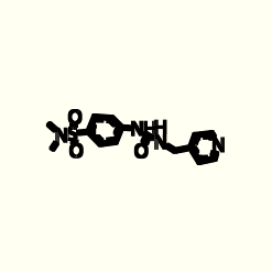 CN(C)S(=O)(=O)c1ccc(NC(=O)NCc2ccncc2)cc1